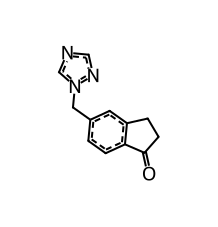 O=C1CCc2cc(Cn3cncn3)ccc21